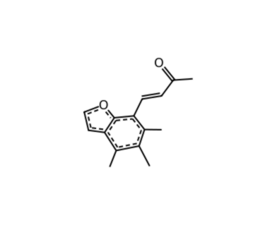 CC(=O)/C=C/c1c(C)c(C)c(C)c2ccoc12